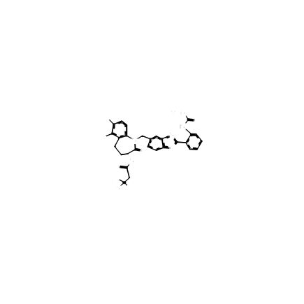 CNC(=O)Nc1ccccc1-c1nc2cc(CN3C(=O)[C@H](NC(=O)CC(C)(C)N)CCc4c3ccc(F)c4F)ccc2o1